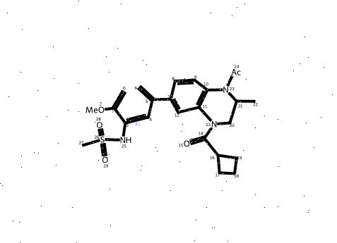 C=C(OC)/C(=C\C(=C)c1ccc2c(c1)N(C(=O)C1CCC1)CC(C)N2C(C)=O)NS(C)(=O)=O